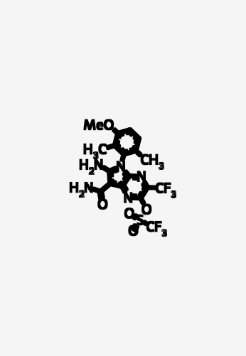 COc1ccc(C)c(-n2c(N)c(C(N)=O)c3nc(OS(=O)(=O)C(F)(F)F)c(C(F)(F)F)nc32)c1C